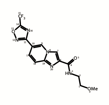 COCCNC(=O)c1cn2cc(-c3noc(C(F)(F)F)n3)ccc2n1